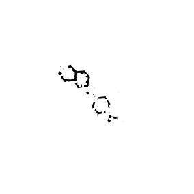 C[C@H]1CN(S(=O)(=O)c2ccc3cnccc3c2)[C@@H](C)CN1C(=O)OC(C)(C)C